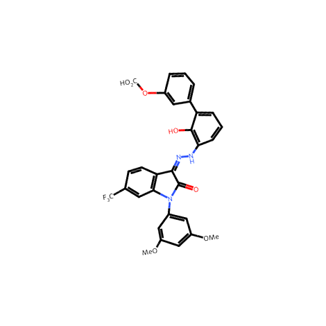 COc1cc(OC)cc(N2C(=O)C(=NNc3cccc(-c4cccc(OC(=O)O)c4)c3O)c3ccc(C(F)(F)F)cc32)c1